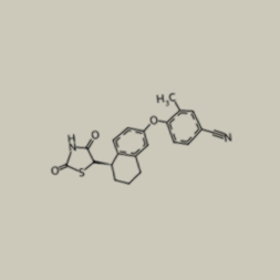 Cc1cc(C#N)ccc1Oc1ccc2c(c1)CCC[C@H]2C1SC(=O)NC1=O